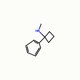 CNC1(c2ccccc2)CCC1